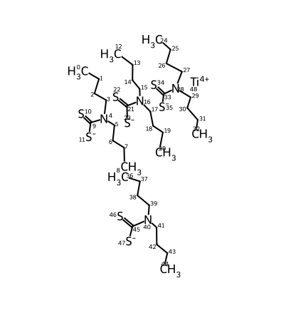 CCCCN(CCCC)C(=S)[S-].CCCCN(CCCC)C(=S)[S-].CCCCN(CCCC)C(=S)[S-].CCCCN(CCCC)C(=S)[S-].[Ti+4]